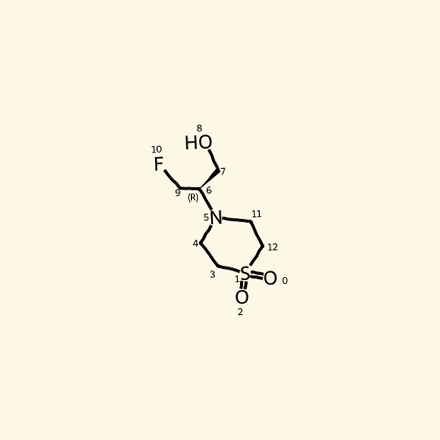 O=S1(=O)CCN([C@H](CO)CF)CC1